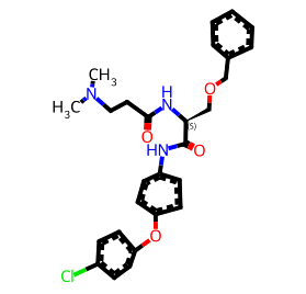 CN(C)CCC(=O)N[C@@H](COCc1ccccc1)C(=O)Nc1ccc(Oc2ccc(Cl)cc2)cc1